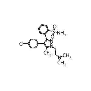 CN(C)CCn1nc(-c2ccccc2S(N)(=O)=O)c(-c2ccc(Cl)cc2)c1C(F)(F)F